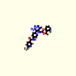 C[C@@H](OC(=O)N/C(=C(/N)c1ccc(NC(=O)c2ccc(C(F)(F)F)nc2)cn1)N(C)N)c1cccnc1F